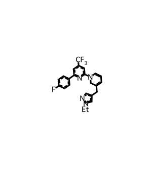 CCn1cc(CC2=CC=CN(c3cc(C(F)(F)F)cc(-c4ccc(F)cc4)n3)C2)cn1